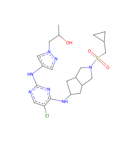 CC(O)Cn1cc(Nc2ncc(Cl)c(NC3CC4CN(S(=O)(=O)CC5CC5)CC4C3)n2)cn1